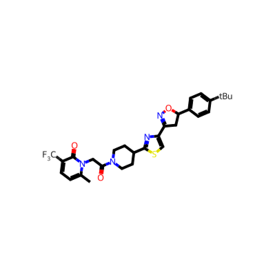 Cc1ccc(C(F)(F)F)c(=O)n1CC(=O)N1CCC(c2nc(C3=NOC(c4ccc(C(C)(C)C)cc4)C3)cs2)CC1